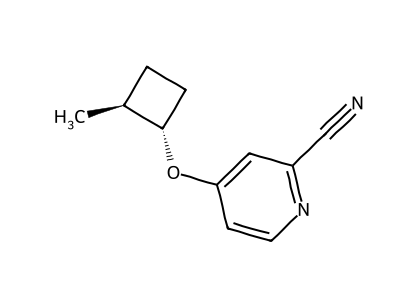 C[C@H]1CC[C@@H]1Oc1ccnc(C#N)c1